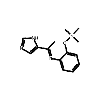 CC(=Nc1ccccc1O[Si](C)(C)C)c1cnc[nH]1